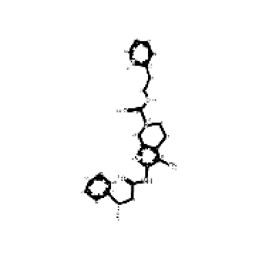 C[C@@H](CC(=O)Nc1sc2c(c1C#N)CCN(C(=O)OCCc1ccccn1)C2)c1ccccc1